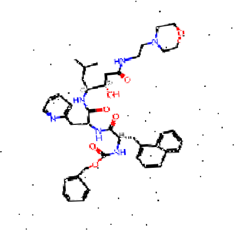 CC(C)C[C@H](NC(=O)C(Cc1ccccn1)NC(=O)[C@H](Cc1cccc2ccccc12)NC(=O)OCc1ccccc1)[C@@H](O)CC(=O)NCCN1CCOCC1